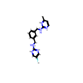 Cc1ccnc(NCc2cccc(CNc3ncc(F)cn3)c2)n1